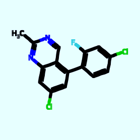 Cc1ncc2c(-c3ccc(Cl)cc3F)cc(Cl)cc2n1